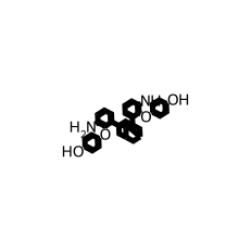 Nc1cccc(C23CC4CC(C2)CC(c2cccc(N)c2Oc2ccc(O)cc2)(C4)C3)c1Oc1ccc(O)cc1